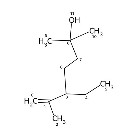 C=C(C)C(CC)CCC(C)(C)O